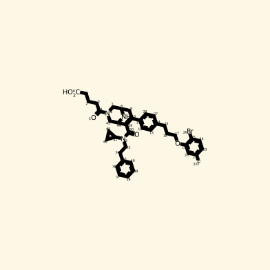 O=C(O)CCCC(=O)N1CC2CC(c3ccc(CCCOc4cc(F)ccc4Br)cc3)=C(C(=O)N(CCc3ccccc3)C3CC3)C(C1)N2